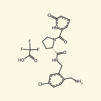 NCc1ccc(Cl)cc1CNC(=O)[C@@H]1CCCN1C(=O)c1cccc(=O)[nH]1.O=C(O)C(F)(F)F